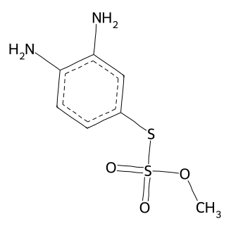 COS(=O)(=O)Sc1ccc(N)c(N)c1